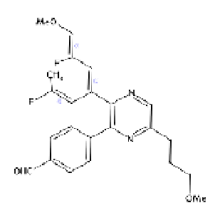 CO/C=C(F)/C=C(\C=C(/C)F)c1ncc(CCCOC)nc1-c1ccc(C=O)cc1